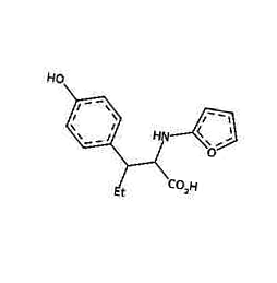 CCC(c1ccc(O)cc1)C(Nc1ccco1)C(=O)O